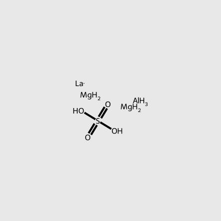 O=S(=O)(O)O.[AlH3].[La].[MgH2].[MgH2]